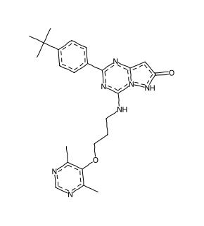 Cc1ncnc(C)c1OCCCNc1nc(-c2ccc(C(C)(C)C)cc2)nc2cc(=O)[nH]n12